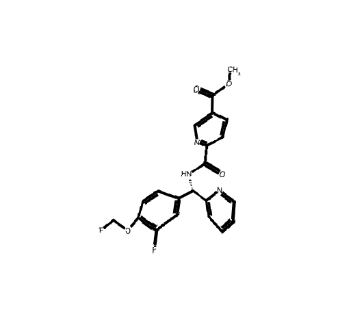 COC(=O)c1ccc(C(=O)N[C@@H](c2ccc(OCF)c(F)c2)c2ccccn2)nc1